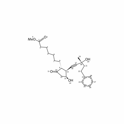 COC(=O)CCCCCC[C@H]1C(=O)C[C@H](O)[C@@H]1C#C[C@](C)(O)CCc1ccccc1